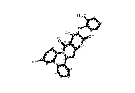 Cc1ccccc1Sc1c(O)c2c(=O)n(-c3ccc(F)cc3)c(-c3ccccc3)cc2oc1=O